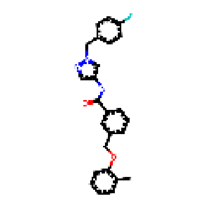 Cc1ccccc1OCc1cccc(C(=O)Nc2cnn(Cc3ccc(F)cc3)c2)c1